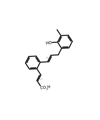 Cc1cccc(C/C=C/c2ccccc2/C=C/C(=O)O)c1O